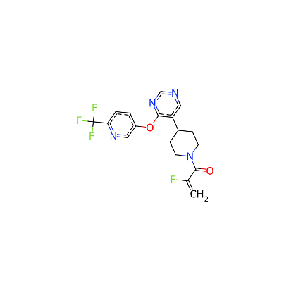 C=C(F)C(=O)N1CCC(c2cncnc2Oc2ccc(C(F)(F)F)nc2)CC1